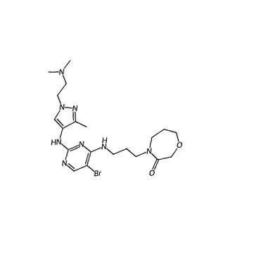 Cc1nn(CCN(C)C)cc1Nc1ncc(Br)c(NCCCN2CCCOCC2=O)n1